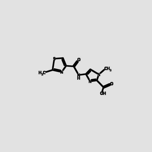 Cc1nc(C(=O)Nc2cn(C)c(C(=O)O)n2)cs1